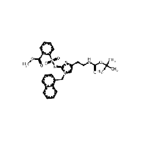 COC(=O)c1ccccc1S(=O)(=O)N=c1sc(CCNC(=O)OC(C)(C)C)cn1Cc1cccc2ccccc12